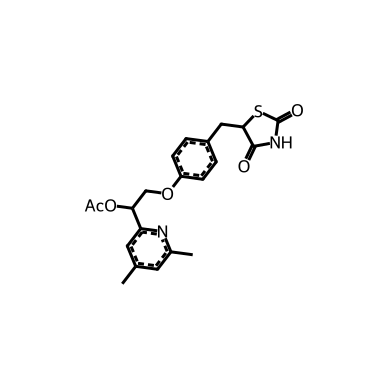 CC(=O)OC(COc1ccc(CC2SC(=O)NC2=O)cc1)c1cc(C)cc(C)n1